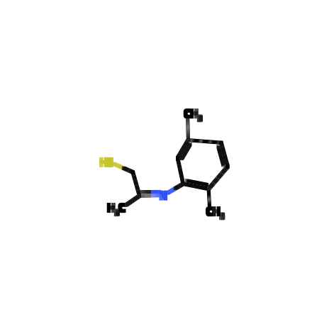 C/C(CS)=N/c1cc(C)ccc1C